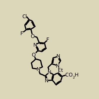 CCn1cncc1Cn1c(CN2CCC(Oc3ccc(F)c(COc4ccc(Cl)cc4F)n3)CC2)nc2ccc(C(=O)O)cc21